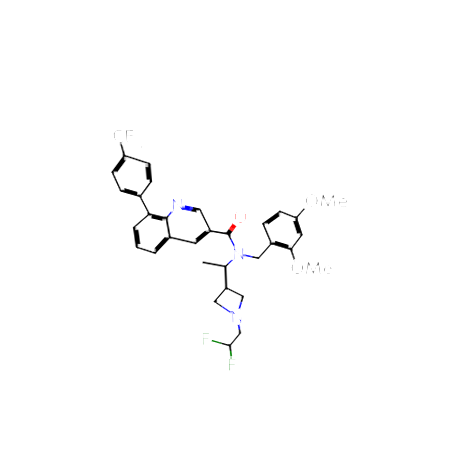 COc1ccc(CN(C(=O)c2cnc3c(-c4ccc(C(F)(F)F)cc4)cccc3c2)C(C)C2CN(CC(F)F)C2)c(OC)c1